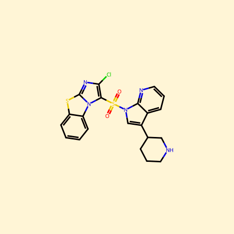 O=S(=O)(c1c(Cl)nc2sc3ccccc3n12)n1cc(C2CCCNC2)c2cccnc21